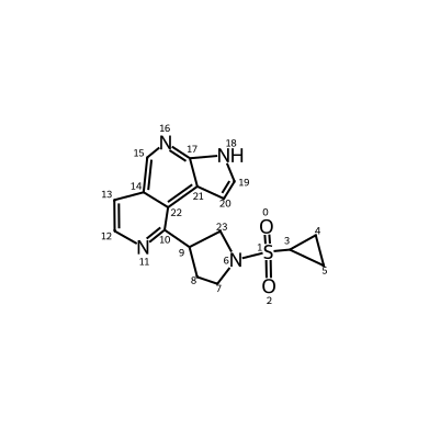 O=S(=O)(C1CC1)N1CCC(c2nccc3cnc4[nH]ccc4c23)C1